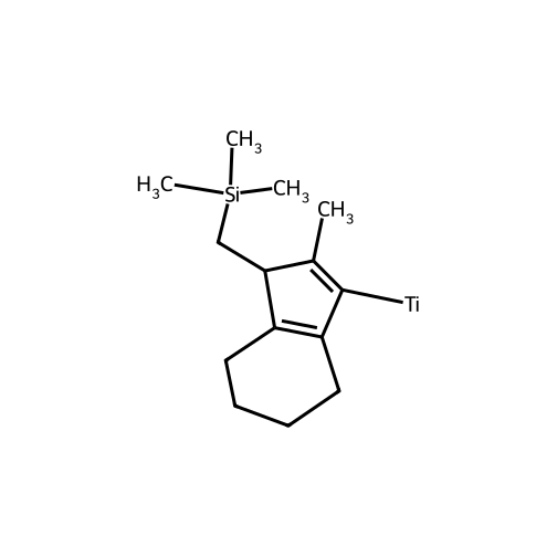 CC1=[C]([Ti])C2=C(CCCC2)C1C[Si](C)(C)C